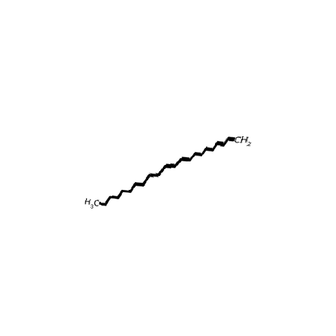 C=C/C=C/C=C/C=C/C=C/C=C/CCCCCCCCCC